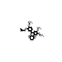 CCOc1ccc(C2=N[C@H]3CCCC[C@H]3c3cc(OC)c(OC)cc32)cc1OCC1CC1